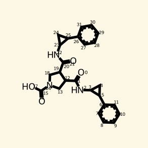 O=C(NC1CC1c1ccccc1)C1CN(C(=O)O)CC1C(=O)NC1CC1c1ccccc1